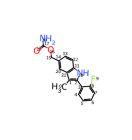 Cc1c(-c2ccccc2F)[nH]c2ccc(COC(N)=O)cc12